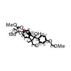 COCOc1ccc(C2(C)COc3cc(OCOC)ccc3C2(O)C#CCO[Si](C)(C)C(C)(C)C)cc1